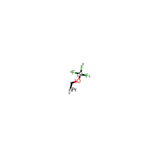 CCCCO[Si](F)(F)F